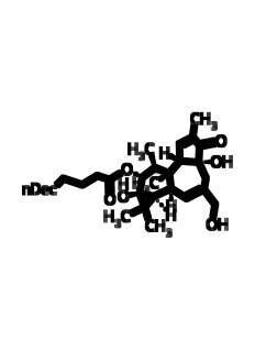 CCCCCCCCCCCCCC(=O)O[C@@H]1[C@@H](C)[C@@]2(C)[C@@H](C=C(CO)C[C@]3(O)C(=O)C(C)=C[C@@H]23)[C@H]2C(C)(C)[C@]12O